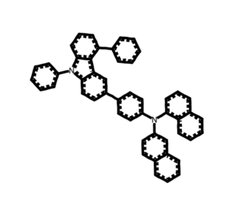 c1ccc(-c2cccc3c2c2cc(-c4ccc(N(c5ccc6ccccc6c5)c5cccc6ccccc56)cc4)ccc2n3-c2ccccc2)cc1